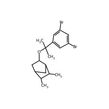 CC1C2CC(OC(C)(C)c3cc(Br)cc(Br)c3)C(C2)C1C